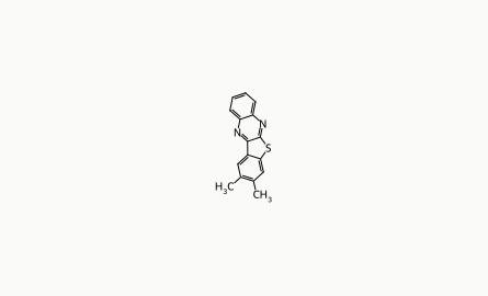 Cc1cc2sc3nc4ccccc4nc3c2cc1C